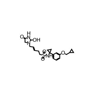 O=C1CN(C/C=C/CCS(=O)(=O)NC2(c3cccc(OCC4CC4)c3)CC2)C(O)N1